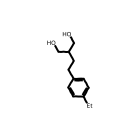 CCc1ccc(CCC(CO)CO)cc1